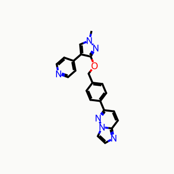 Cn1cc(-c2ccncc2)c(OCc2ccc(-c3ccc4nccn4n3)cc2)n1